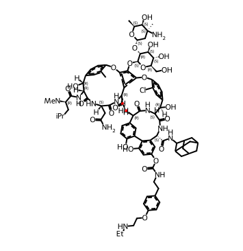 CCNCCOc1ccc(CCNC(=O)Oc2cc(O)c3c(c2)[C@@H](C(=O)NC2C4CC5CC(C4)CC2C5)NC(=O)[C@H]2NC(=O)[C@H](NC(=O)[C@@H]4NC(=O)[C@H](CC(N)=O)NC(=O)[C@H](NC(=O)[C@@H](CC(C)C)NC)[C@H](O)c5ccc(c(C)c5)Oc5cc4cc(c5O[C@@H]4O[C@H](CO)[C@@H](O)[C@H](O)[C@H]4O[C@H]4C[C@](C)(N)[C@H](O)[C@H](C)O4)Oc4ccc(cc4Cl)[C@H]2O)c2ccc(O)c-3c2)cc1